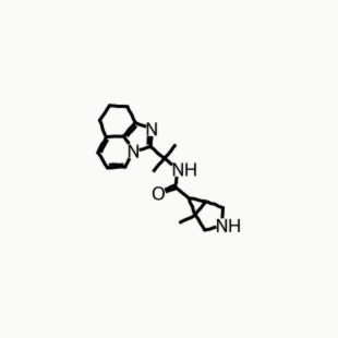 CC(C)(NC(=O)C1C2CNCC21C)c1nc2c3c(cccn13)CCC2